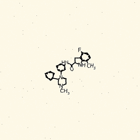 Cc1ccc(F)c2c1NC(C(=O)Nc1cccc(N3CCN(C)CC3c3ccccc3)c1)C2